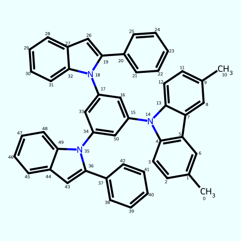 Cc1ccc2c(c1)c1cc(C)ccc1n2-c1cc(-n2c(-c3ccccc3)cc3ccccc32)cc(-n2c(-c3ccccc3)cc3ccccc32)c1